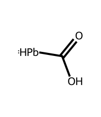 O=[C](O)[PbH]